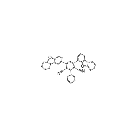 N#Cc1c(-c2ccc3oc4ccccc4c3c2)cc(-c2cccc3c2oc2ccccc23)c(C#N)c1-c1ccccc1